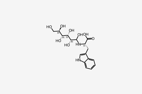 O=C(O)[C@H](Cc1c[nH]c2ccccc12)NC(O)[C@H](O)[C@@H](O)[C@H](O)[C@H](O)CO